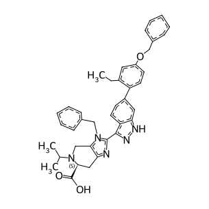 CCc1cc(OCc2ccccc2)ccc1-c1ccc2c(-c3nc4c(n3Cc3ccccc3)CN(C(C)C)[C@H](C(=O)O)C4)n[nH]c2c1